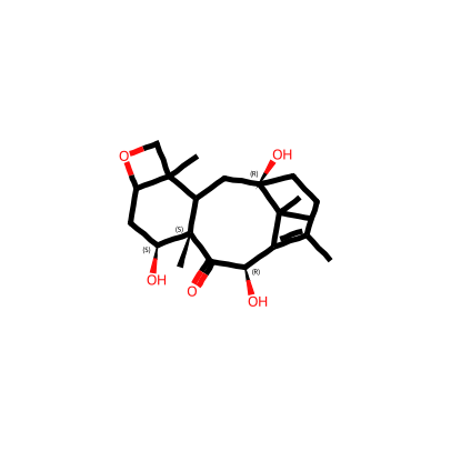 CC1=C2[C@@H](O)C(=O)[C@@]3(C)C(C[C@](O)(CC1)C2(C)C)C1(C)COC1C[C@@H]3O